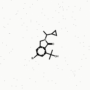 CC(C1CC1)N1Cc2cc(Br)cc(C(C)(C)O)c2C1=O